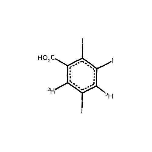 [2H]c1c(I)c([2H])c(C(=O)O)c(I)c1I